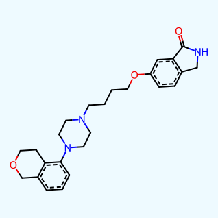 O=C1NCc2ccc(OCCCCN3CCN(c4cccc5c4CCOC5)CC3)cc21